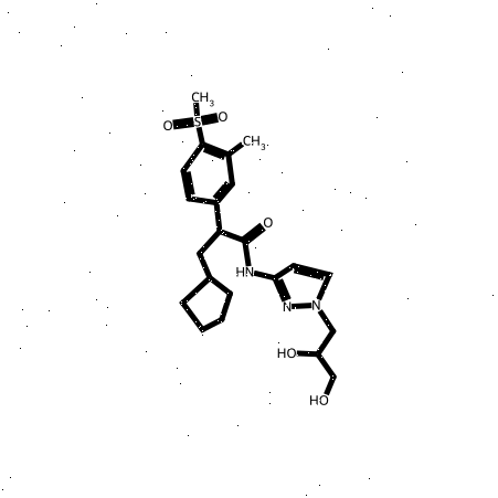 Cc1cc(C(CC2CCCC2)C(=O)Nc2ccn(CC(O)CO)n2)ccc1S(C)(=O)=O